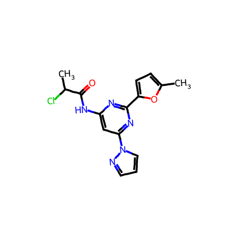 Cc1ccc(-c2nc(NC(=O)C(C)Cl)cc(-n3cccn3)n2)o1